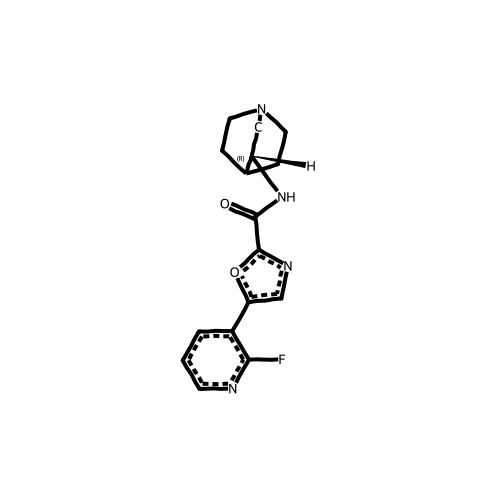 O=C(N[C@H]1CN2CCC1CC2)c1ncc(-c2cccnc2F)o1